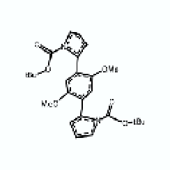 COc1cc(-c2cccn2C(=O)OC(C)(C)C)c(OC)cc1-c1cccn1C(=O)OC(C)(C)C